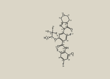 C[C@H](Oc1cc(-n2nc3n(c2=O)CCOC3)c(F)cc1C(=O)Nc1c(F)cc(F)cc1Cl)C(F)(F)F